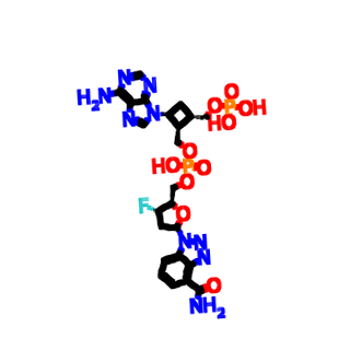 NC(=O)c1cccc2c1nnn2[C@H]1C[C@H](F)[C@@H](COP(=O)(O)OC[C@@H]2[C@@H](COP(=O)(O)O)C[C@H]2n2cnc3c(N)ncnc32)O1